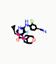 N#Cc1ccc(Nc2ncnc(OC3C4COCC3CN(C(=O)OCC3CC3)C4)c2F)c(Cl)c1